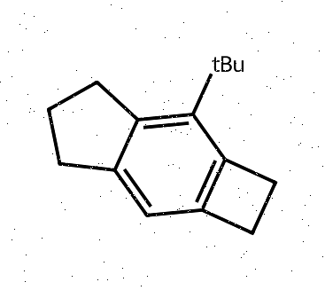 CC(C)(C)c1c2c(cc3c1CC3)CCC2